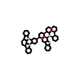 c1ccc(-c2ccccc2N(c2ccccc2-c2ccc(-c3ccc4c(c3)n3c5ccccc5c5ccc6c7ccccc7n4c6c53)cc2)c2cccc3c2sc2ccccc23)cc1